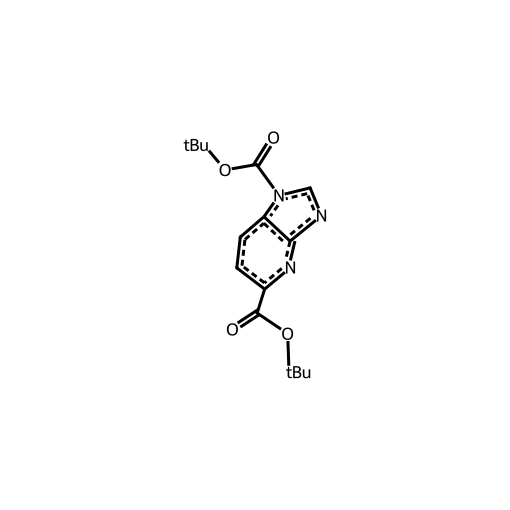 CC(C)(C)OC(=O)c1ccc2c(ncn2C(=O)OC(C)(C)C)n1